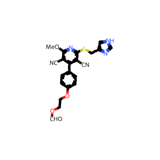 COc1nc(SCc2c[nH]cn2)c(C#N)c(-c2ccc(OCCOC=O)cc2)c1C#N